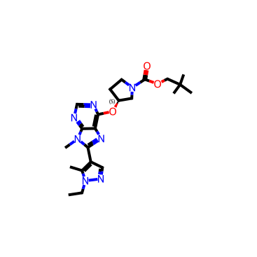 CCn1ncc(-c2nc3c(O[C@H]4CCN(C(=O)OCC(C)(C)C)C4)ncnc3n2C)c1C